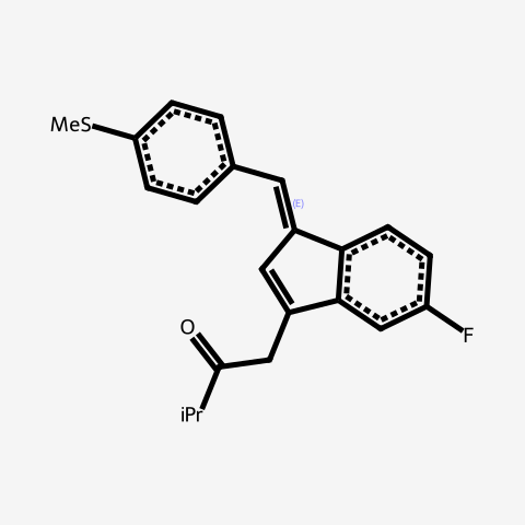 CSc1ccc(/C=C2\C=C(CC(=O)C(C)C)c3cc(F)ccc32)cc1